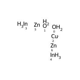 O.O.[Cu].[InH3].[InH3].[Zn].[Zn]